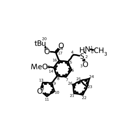 CN=[SH](=O)Cc1ccc(-c2ccoc2)c(OC)c1C(=O)OC(C)(C)C.c1cc2cc-2c1